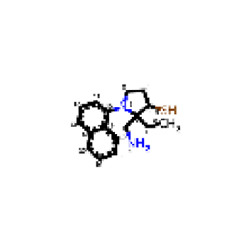 CCC1(CN)C(S)CCN1c1cccc2ccccc12